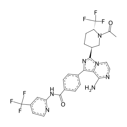 CC(=O)N1C[C@@H](c2nc(-c3ccc(C(=O)Nc4cc(C(F)(F)F)ccn4)cc3)c3c(N)nccn23)CC[C@@H]1C(F)(F)F